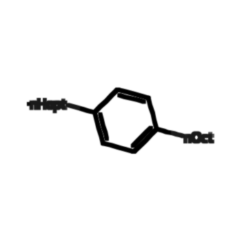 CCCCCC[CH]c1ccc(CCCCCCCC)cc1